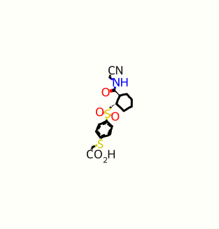 N#CCNC(=O)[C@H]1CCCC[C@@H]1CS(=O)(=O)c1ccc(SCC(=O)O)cc1